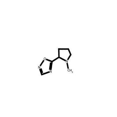 CN1CCCC1c1ncno1